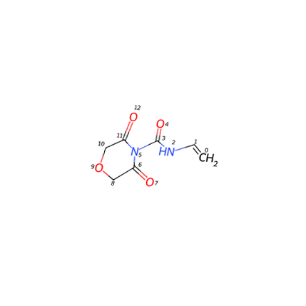 C=CNC(=O)N1C(=O)COCC1=O